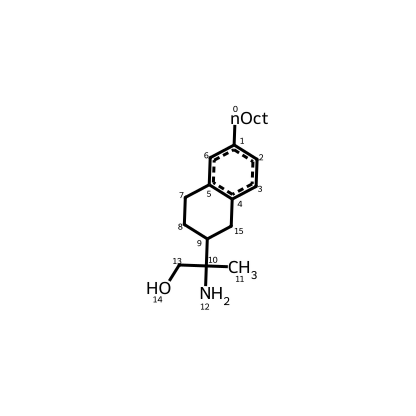 CCCCCCCCc1ccc2c(c1)CCC(C(C)(N)CO)C2